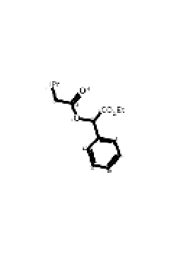 CCOC(=O)C(OC(=O)CC(C)C)c1ccccc1